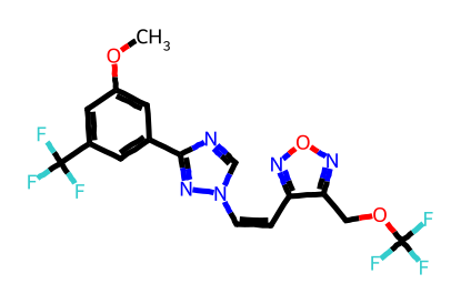 COc1cc(-c2ncn(/C=C\c3nonc3COC(F)(F)F)n2)cc(C(F)(F)F)c1